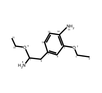 CCOc1cc(CC(N)OCC)ccc1N